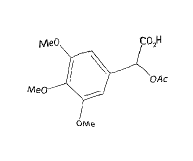 COc1cc(C(OC(C)=O)C(=O)O)cc(OC)c1OC